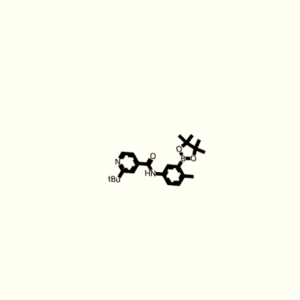 Cc1ccc(NC(=O)c2ccnc(C(C)(C)C)c2)cc1B1OC(C)(C)C(C)(C)O1